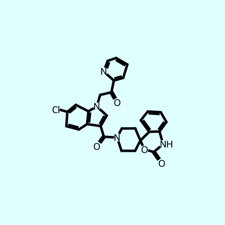 O=C1Nc2ccccc2C2(CCN(C(=O)c3cn(CC(=O)c4ccccn4)c4cc(Cl)ccc34)CC2)O1